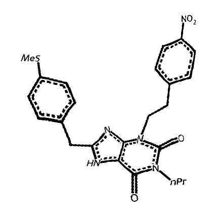 CCCn1c(=O)c2[nH]c(Cc3ccc(SC)cc3)nc2n(CCc2ccc([N+](=O)[O-])cc2)c1=O